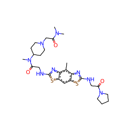 Cc1c2nc(NCC(=O)N3CCCC3)sc2cc2sc(NCC(=O)N(C)C3CCN(CC(=O)N(C)C)CC3)nc12